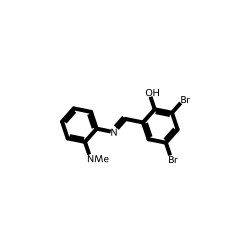 CNc1ccccc1N=Cc1cc(Br)cc(Br)c1O